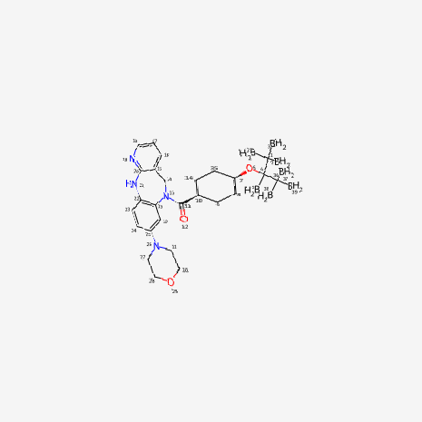 BC(B)(B)C(B)(O[C@H]1CC[C@@H](C(=O)N2Cc3cccnc3Nc3ccc(N4CCOCC4)cc32)CC1)C(B)(B)B